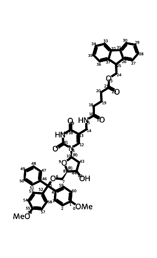 COc1ccc(C(OC[C@H]2O[C@@H](n3cc(CNC(=O)CCCC(=O)OCC4c5ccccc5-c5ccccc54)c(=O)[nH]c3=O)CC2O)(c2ccccc2)c2ccc(OC)cc2)cc1